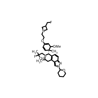 COC1C=C(OCCN2CC(CF)C2)C=CC1(C)[C@@H]1c2ccc3nn(C4CCCCO4)cc3c2C[C@@H](C)N1CC(C)(C)F